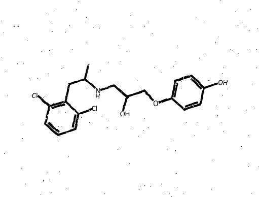 CC(Cc1c(Cl)cccc1Cl)NCC(O)COc1ccc(O)cc1